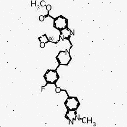 COC(=O)c1ccc2nc(CN3CC=C(c4ccc(F)c(OCc5ccc6c(cnn6C)c5)c4)CC3)n(C[C@@H]3CCO3)c2c1